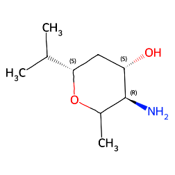 CC(C)[C@@H]1C[C@H](O)[C@@H](N)C(C)O1